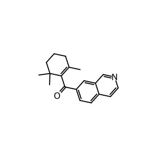 CC1=C(C(=O)c2ccc3ccncc3c2)C(C)(C)CCC1